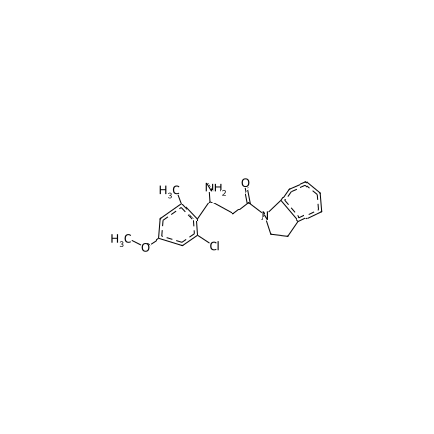 COc1cc(C)c(C(N)CC(=O)N2CCc3ccccc32)c(Cl)c1